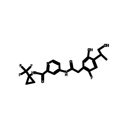 CC(CO)c1cc(F)c(CC(=O)Nc2ccnc(C(=O)NC3(C(F)(F)F)CC3)c2)cc1O